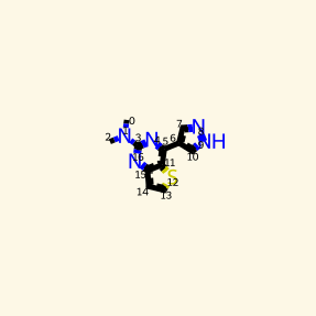 CN(C)c1nc(-c2cn[nH]c2)c2sccc2n1